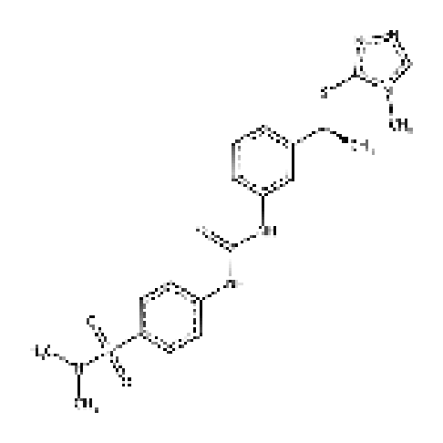 C[C@H](Sc1nncn1C)c1cccc(NC(=O)Nc2ccc(S(=O)(=O)N(C)C)cc2)c1